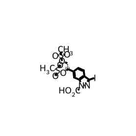 CS(=O)(=O)OC[C@@H](OS(C)(=O)=O)c1ccc2c(I)nn(C(=O)O)c2c1